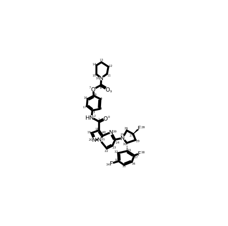 O=C(Nc1ccc(OC(=O)N2CCCCC2)cc1)c1cnn2ccc(N3C[C@@H](F)C[C@@H]3c3cc(F)ccc3F)nc12